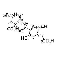 O=C(O)Cc1cc(O)c(C(=O)Nc2cnc(F)cc2C(=O)O)cc1O